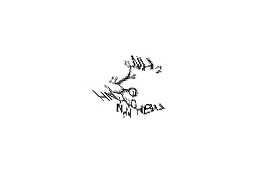 CC(C)(C)COc1ncnc2[nH]cc(C(=O)C=CCN)c12